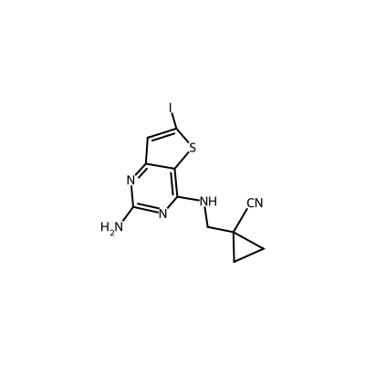 N#CC1(CNc2nc(N)nc3cc(I)sc23)CC1